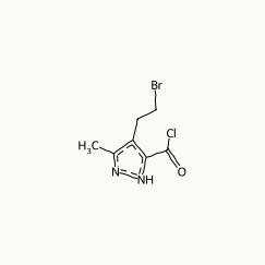 Cc1n[nH]c(C(=O)Cl)c1CCBr